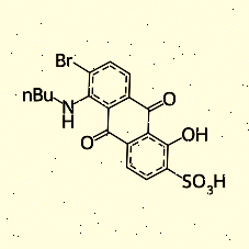 CCCCNc1c(Br)ccc2c1C(=O)c1ccc(S(=O)(=O)O)c(O)c1C2=O